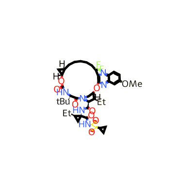 CC[C@@H]1[C@@H]2CN(C(=O)[C@H](C(C)(C)C)NC(=O)O[C@@H]3C[C@H]3CCCCCC(F)(F)c3nc4ccc(OC)cc4nc3O2)[C@@H]1C(=O)N[C@]1(C(=O)NS(=O)(=O)C2CC2)C[C@H]1CC